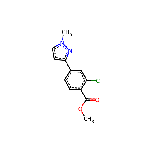 COC(=O)c1ccc(-c2ccn(C)n2)cc1Cl